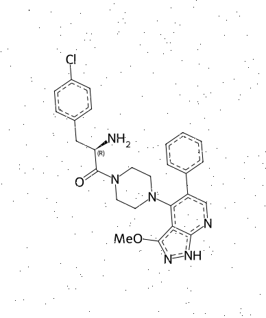 COc1n[nH]c2ncc(-c3ccccc3)c(N3CCN(C(=O)[C@H](N)Cc4ccc(Cl)cc4)CC3)c12